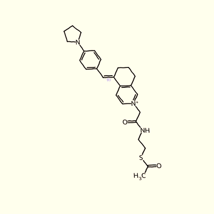 CC(=O)SCCNC(=O)C[n+]1ccc2c(c1)CCC/C2=C\c1ccc(N2CCCC2)cc1